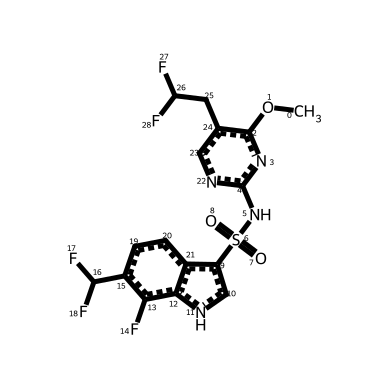 COc1nc(NS(=O)(=O)c2c[nH]c3c(F)c(C(F)F)ccc23)ncc1CC(F)F